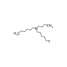 CCCCCCN(CCCC)CCCC[CH2][Y]